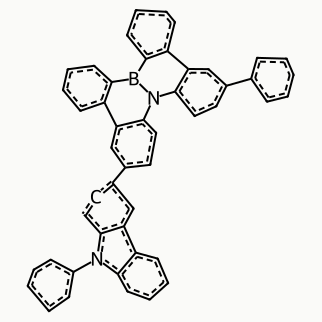 c1ccc(-c2ccc3c(c2)-c2ccccc2B2c4ccccc4-c4cc(-c5ccc6c(c5)c5ccccc5n6-c5ccccc5)ccc4N23)cc1